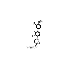 CCCCCOC1CCC(c2ccc(-c3ccc(CCC)c(F)c3)c(F)c2F)CO1